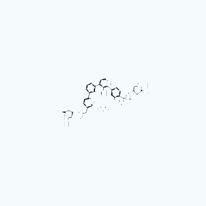 COc1cc(-c2nccc(-c3cccc(-c4ccc(CN(C)C[C@@H]5CNC(=O)C5)c(OC)n4)c3Cl)c2Cl)ccc1CN(C)C[C@H]1CNC(=O)C1